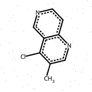 Cc1cnc2ccncc2c1Cl